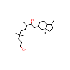 C[C@H](CCC(C)(C)CCCO)C(O)C[C@H]1CCC2[C@@H](CC[C@@H]2C)C1